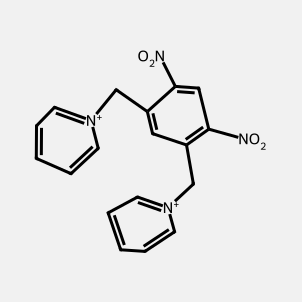 O=[N+]([O-])c1cc([N+](=O)[O-])c(C[n+]2ccccc2)cc1C[n+]1ccccc1